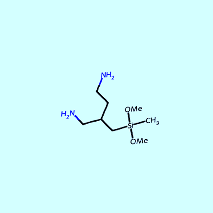 CO[Si](C)(CC(CN)CCN)OC